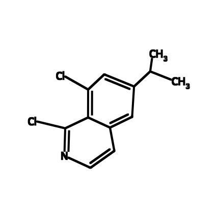 CC(C)c1cc(Cl)c2c(Cl)nccc2c1